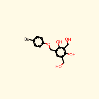 CCC(C)c1ccc(OCc2cc(CO)c(O)c(CO)c2O)cc1